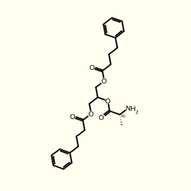 C[C@@H](N)C(=O)OC(COC(=O)CCCc1ccccc1)COC(=O)CCCc1ccccc1